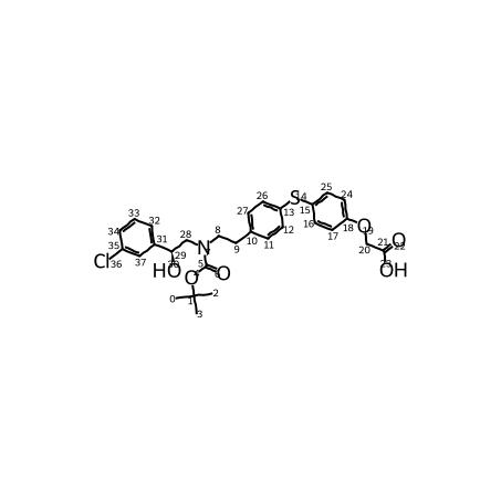 CC(C)(C)OC(=O)N(CCc1ccc(Sc2ccc(OCC(=O)O)cc2)cc1)C[C@@H](O)c1cccc(Cl)c1